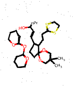 C1CCC(OC2CCCCO2)OC1.CCCC(O)C=CC1CCC2(OCC(C)(C)CO2)C1CCC1SCCS1